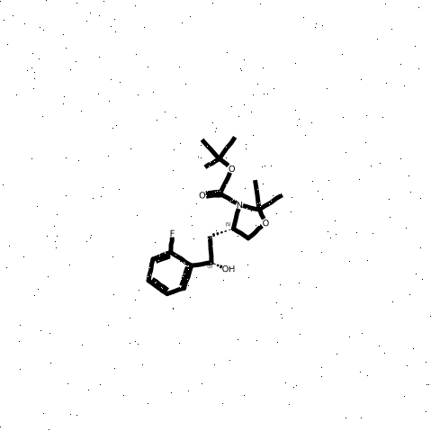 CC(C)(C)OC(=O)N1[C@@H](C[C@H](O)c2ccccc2F)COC1(C)C